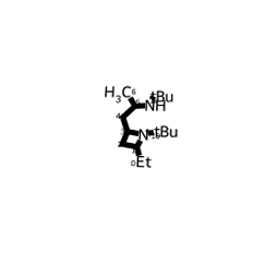 CCC1CC(CC(C)NC(C)(C)C)N1C(C)(C)C